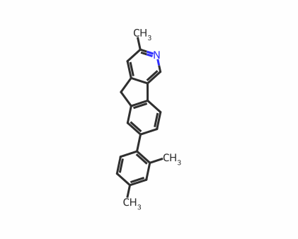 Cc1ccc(-c2ccc3c(c2)Cc2cc(C)ncc2-3)c(C)c1